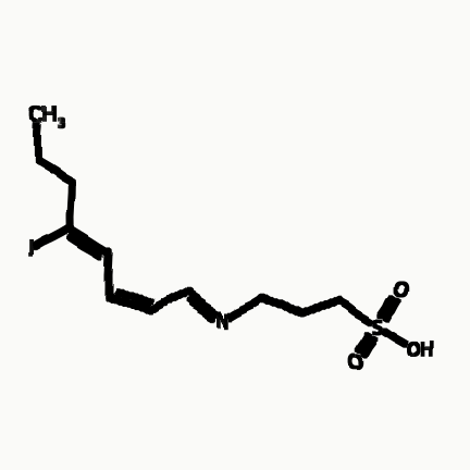 CCC/C(I)=C/C=C\C=N\CCCS(=O)(=O)O